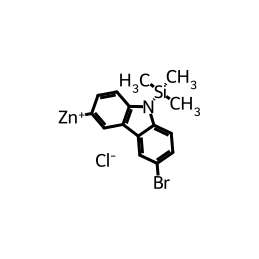 C[Si](C)(C)n1c2cc[c]([Zn+])cc2c2cc(Br)ccc21.[Cl-]